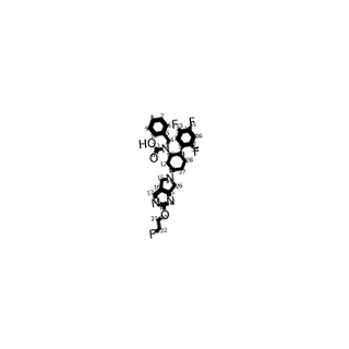 O=C(O)N(Cc1ccccc1)[C@H]1C[C@@H](N2Cc3cnc(OCCF)nc3C2)CC[C@@H]1c1cc(F)c(F)cc1F